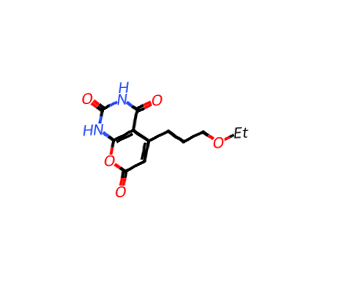 CCOCCCc1cc(=O)oc2[nH]c(=O)[nH]c(=O)c12